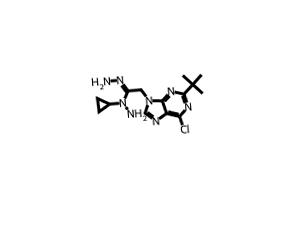 CC(C)(C)c1nc(Cl)c2ncn(C/C(=N/N)N(N)C3CC3)c2n1